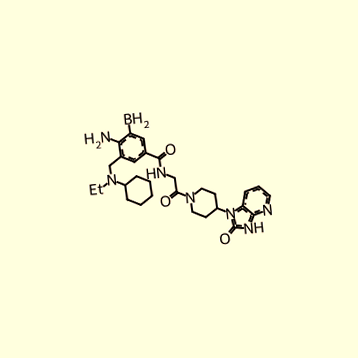 Bc1cc(C(=O)NCC(=O)N2CCC(n3c(=O)[nH]c4ncccc43)CC2)cc(CN(CC)C2CCCCC2)c1N